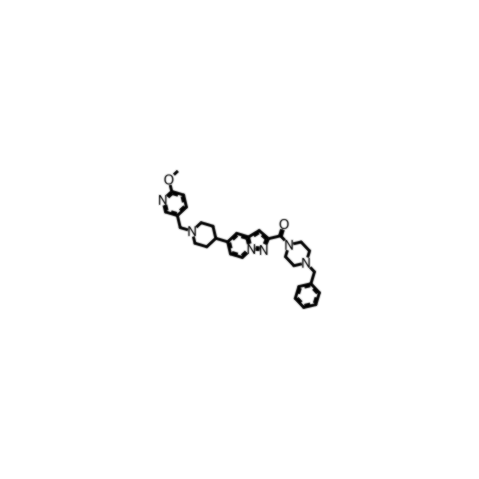 COc1ccc(CN2CCC(c3ccn4nc(C(=O)N5CCN(Cc6ccccc6)CC5)cc4c3)CC2)cn1